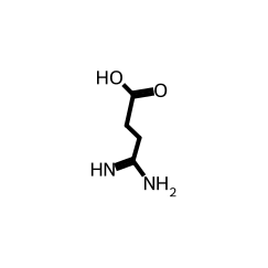 N=C(N)CCC(=O)O